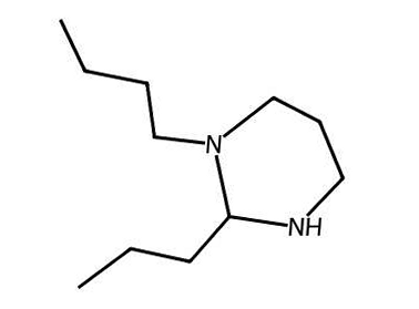 CCCCN1CCCNC1CCC